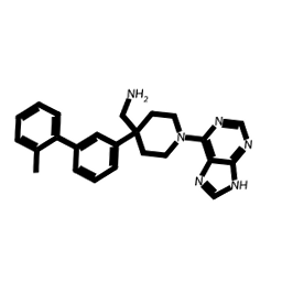 Cc1ccccc1-c1cccc(C2(CN)CCN(c3ncnc4[nH]cnc34)CC2)c1